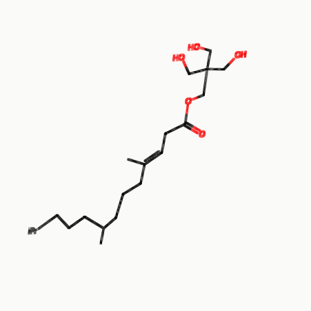 C/C(=C\CC(=O)OCC(CO)(CO)CO)CCCC(C)CCCC(C)C